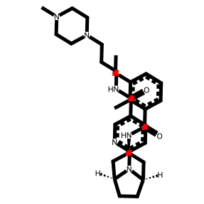 COc1cccc(C(=O)N[C@H]2C[C@H]3CC[C@@H](C2)N3c2ccc(C(=O)NCCCN3CCN(C)CC3)cn2)c1C